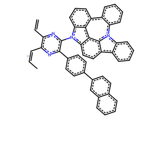 C=Cc1nc(-n2c3cccc4c5ccccc5n5c6ccccc6c6ccc2c(c43)c65)c(-c2ccc(-c3ccc4ccccc4c3)cc2)nc1/C=C\C